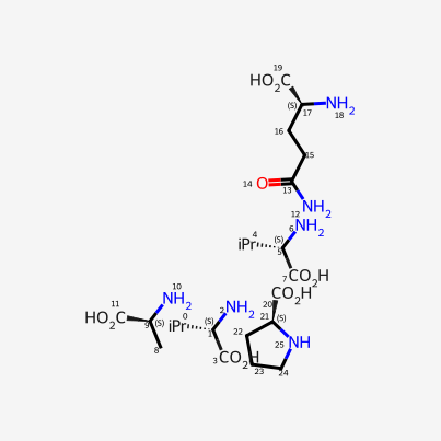 CC(C)[C@H](N)C(=O)O.CC(C)[C@H](N)C(=O)O.C[C@H](N)C(=O)O.NC(=O)CC[C@H](N)C(=O)O.O=C(O)[C@@H]1CCCN1